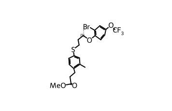 COC(=O)CCc1ccc(SCC[C@H](C)Oc2ccc(OC(F)(F)F)cc2Br)cc1C